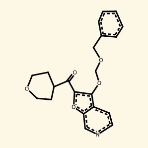 O=C(c1oc2cnccc2c1OCOCc1ccccc1)C1CCOCC1